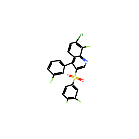 O=S(=O)(c1ccc(F)c(F)c1)c1cnc2c(F)c(Cl)ccc2c1-c1cccc(F)c1